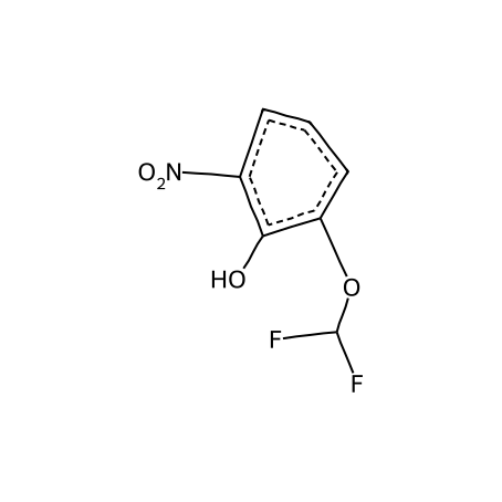 O=[N+]([O-])c1cccc(OC(F)F)c1O